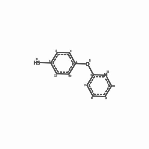 Sc1ccc(Oc2ccccn2)cc1